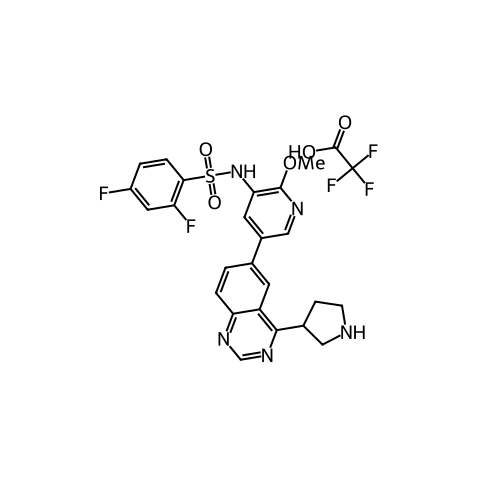 COc1ncc(-c2ccc3ncnc(C4CCNC4)c3c2)cc1NS(=O)(=O)c1ccc(F)cc1F.O=C(O)C(F)(F)F